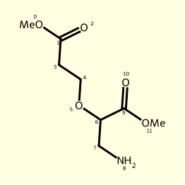 COC(=O)CCOC(CN)C(=O)OC